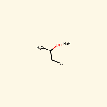 CCC[C@H](C)O.[NaH]